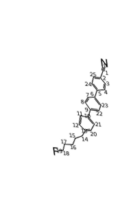 N#Cc1ccc(-c2ccc(-c3ccc(CCCCCF)cc3)cc2)cc1